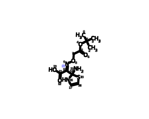 CC(C)(C)OC(=O)CO/N=C(/C(=O)O)C1(N)NC=CS1